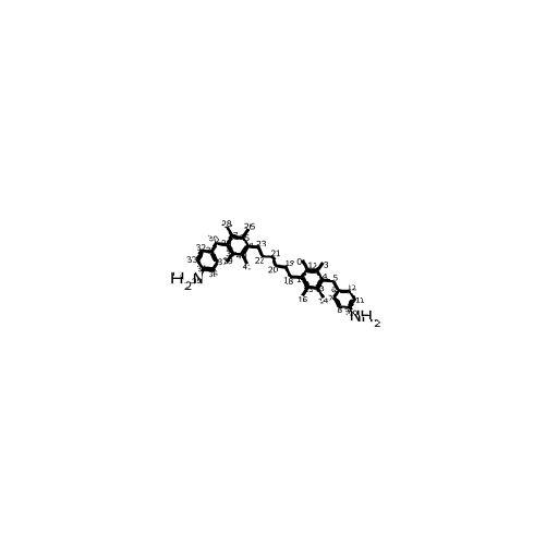 Cc1c(C)c(Cc2ccc(N)cc2)c(C)c(C)c1CCCCCCc1c(C)c(C)c(Cc2ccc(N)cc2)c(C)c1C